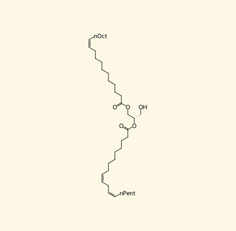 CCCCC/C=C\C/C=C\CCCCCCCC(=O)O[C@@H](CO)COC(=O)CCCCCCCCC/C=C\CCCCCCCC